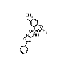 CCc1ccc(OC)c(S(=O)(=O)Nc2cc(-c3ccccc3)on2)c1